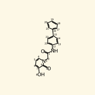 O=C(Cn1cccc(O)c1=O)Nc1ccc(-c2ccccc2)cc1